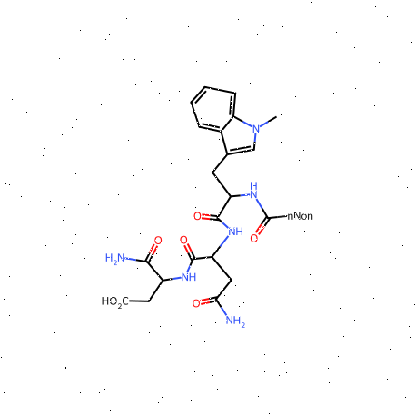 CCCCCCCCCC(=O)NC(Cc1cn(C)c2ccccc12)C(=O)NC(CC(N)=O)C(=O)NC(CC(=O)O)C(N)=O